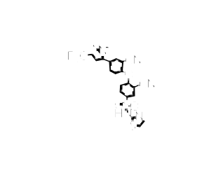 Cn1nc(C(F)(F)F)cc1-c1ccc(Oc2ccc(S(=O)(=O)Nc3nccs3)cc2C#N)c(C#N)c1